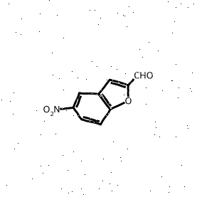 O=Cc1cc2cc([N+](=O)[O-])ccc2o1